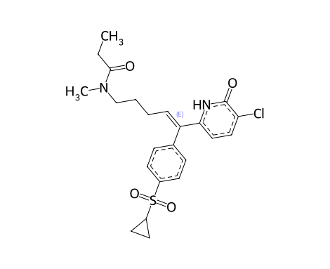 CCC(=O)N(C)CCC/C=C(\c1ccc(S(=O)(=O)C2CC2)cc1)c1ccc(Cl)c(=O)[nH]1